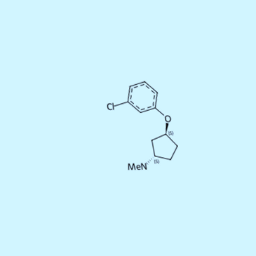 CN[C@H]1CC[C@H](Oc2cccc(Cl)c2)C1